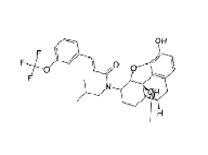 CC(C)CN(C(=O)/C=C/c1cccc(OC(F)(F)F)c1)C1CC[C@@]2(O)[C@H]3Cc4ccc(O)c5c4[C@@]2(CCN3C)C1O5